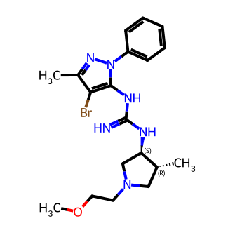 COCCN1C[C@@H](C)[C@H](NC(=N)Nc2c(Br)c(C)nn2-c2ccccc2)C1